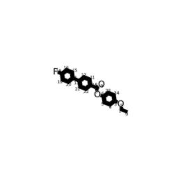 CCOc1ccc(OC(=O)c2ccc(-c3ccc(F)cc3)cc2)cc1